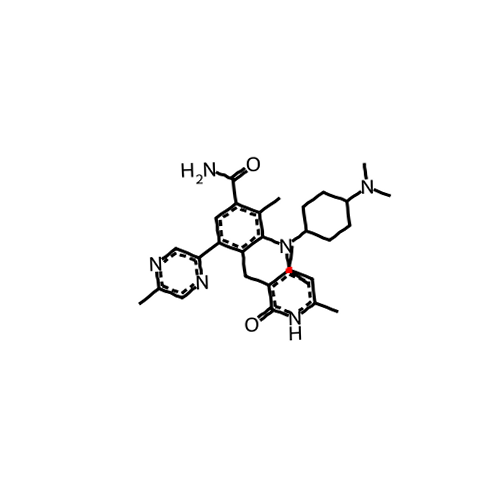 CCN(c1c(C)c(C(N)=O)cc(-c2cnc(C)cn2)c1Cc1c(C)cc(C)[nH]c1=O)C1CCC(N(C)C)CC1